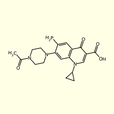 CC(=O)N1CCN(c2cc3c(cc2P)c(=O)c(C(=O)O)cn3C2CC2)CC1